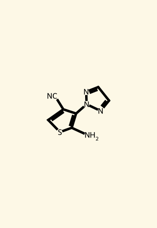 N#Cc1csc(N)c1-n1nccn1